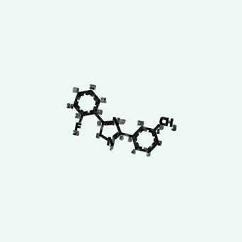 Cc1cccc(C2=NCC(c3ccccc3F)=N2)c1